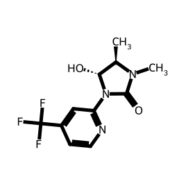 C[C@@H]1[C@@H](O)N(c2cc(C(F)(F)F)ccn2)C(=O)N1C